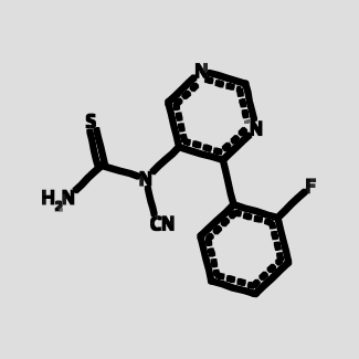 N#CN(C(N)=S)c1cncnc1-c1ccccc1F